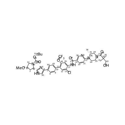 CO[C@H]1C[C@@H](c2nc(-c3ccc(-c4cc(Cl)c(NC(=O)c5ccc(N6CCN(C(=O)C(C)(C)CO)C[C@H]6C)nc5)cc4OC(F)(F)F)cc3)c[nH]2)N(C(=O)OC(C)(C)C)C1